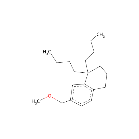 CCCCC1(CCCC)CCCc2ccc(COC)cc21